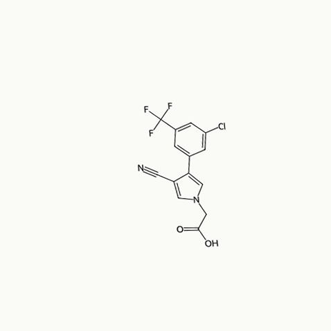 N#Cc1cn(CC(=O)O)cc1-c1cc(Cl)cc(C(F)(F)F)c1